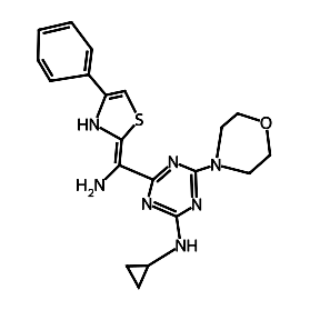 N/C(=C1\NC(c2ccccc2)=CS1)c1nc(NC2CC2)nc(N2CCOCC2)n1